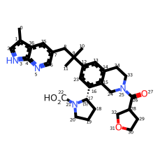 Cc1c[nH]c2ncc(CC(C)(C)c3cc4c(c([C@@H]5CCCN5C(=O)O)c3)CN(C(=O)C3CCOC3)CC4)cc12